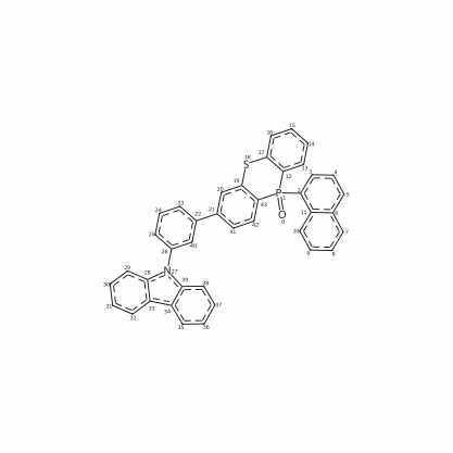 O=P1(c2cccc3ccccc23)c2ccccc2Sc2cc(-c3cccc(-n4c5ccccc5c5ccccc54)c3)ccc21